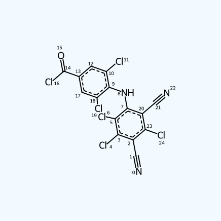 N#Cc1c(Cl)c(Cl)c(Nc2c(Cl)cc(C(=O)Cl)cc2Cl)c(C#N)c1Cl